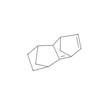 C1=CC2CC1=C1C3CCC(C3)C12